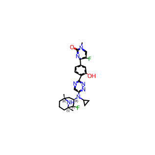 Cn1cc(F)c(-c2ccc(-c3ncc(N(C4CC4)[C@@H]4C[C@@]5(C)CCC[C@](C)(N5)[C@@H]4F)nn3)c(O)c2)nc1=O